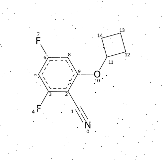 N#Cc1c(F)cc(F)cc1OC1CCC1